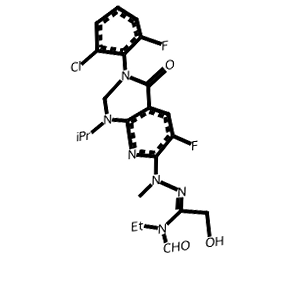 CCN(C=O)/C(CO)=N\N(C)c1nc2c(cc1F)C(=O)N(c1c(F)cccc1Cl)CN2C(C)C